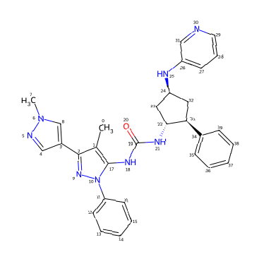 Cc1c(-c2cnn(C)c2)nn(-c2ccccc2)c1NC(=O)N[C@@H]1C[C@@H](Nc2cccnc2)C[C@H]1c1ccccc1